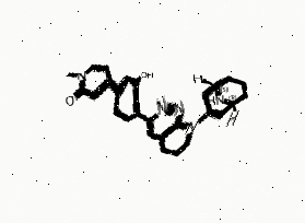 Cn1ccc(-c2ccc(-c3cc4c(nn3)N(C3C[C@H]5CCC[C@@H](C3)N5)CCC4)c(O)c2)cc1=O